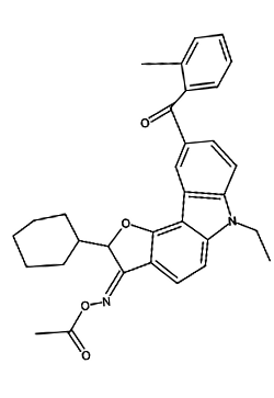 CCn1c2ccc(C(=O)c3ccccc3C)cc2c2c3c(ccc21)/C(=N/OC(C)=O)C(C1CCCCC1)O3